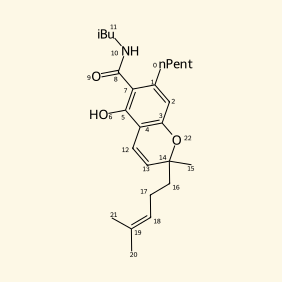 CCCCCc1cc2c(c(O)c1C(=O)NC(C)CC)C=CC(C)(CCC=C(C)C)O2